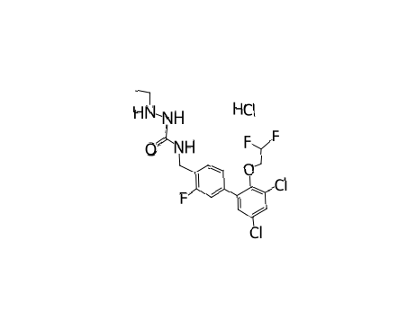 CCNNC(=O)NCc1ccc(-c2cc(Cl)cc(Cl)c2OCC(F)F)cc1F.Cl